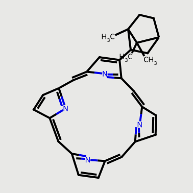 CC1(C)C2CCC1(C)C(C1=CC3=CC4=NC(=CC5=NC(=CC6=NC(=CC1=N3)C=C6)C=C5)C=C4)C2